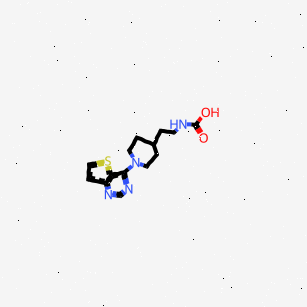 O=C(O)NCCC1CCN(c2ncnc3ccsc23)CC1